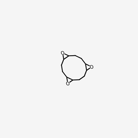 C1CC2OC2CCC2OC2CCC2OC12